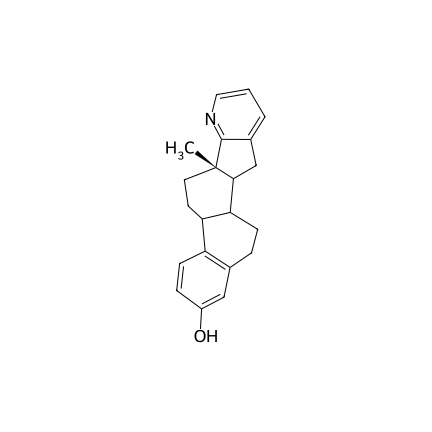 C[C@]12CCC3c4ccc(O)cc4CCC3C1Cc1cccnc12